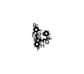 Cc1cc(Br)cc(C)c1NC(=O)COc1ccc(F)cc1C(=O)NCC(=O)N(C)c1ccccc1